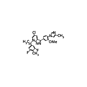 COc1cc(-c2nnc3n([C@@H](C)c4cc(F)c(C)c(F)c4)cc(Cl)cc2-3)ccc1-n1cnc(C)c1